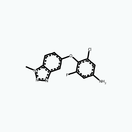 Cn1nnc2cc(Oc3c(F)cc(N)cc3Cl)ccc21